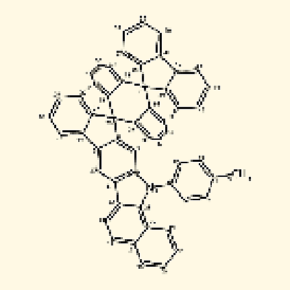 Cc1ccc(-n2c3cc4c(cc3c3ccc5ccccc5c32)-c2ccccc2C42c3ccccc3C3(c4ccccc4-c4ccccc43)c3ccccc32)cc1